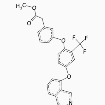 COC(=O)Cc1cccc(Oc2ccc(Oc3cccc4ccncc34)cc2C(F)(F)F)c1